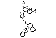 CCOC(=O)CC(c1ccc(OC)nc1)c1nc(CCCC2CCc3cccnc3N2C(=O)Oc2ccccc2)cs1